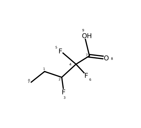 [CH2]CC(F)C(F)(F)C(=O)O